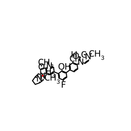 COc1ncc(-c2cc(F)cc(-c3ccc(N(C=O)/C=C\N(C)C)c(Cl)c3)c2O)cc1N1CC2CCC(C1)N2C(C)C